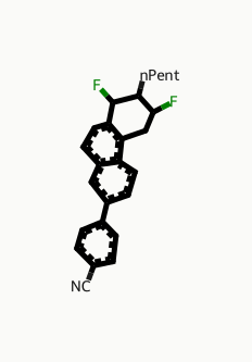 CCCCCC1C(F)Cc2c(ccc3cc(-c4ccc(C#N)cc4)ccc23)C1F